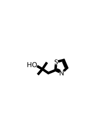 CC(C)(O)Cc1nccs1